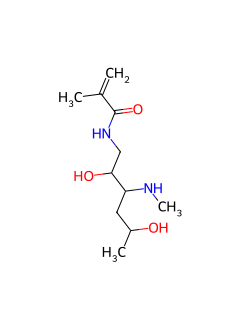 C=C(C)C(=O)NCC(O)C(CC(C)O)NC